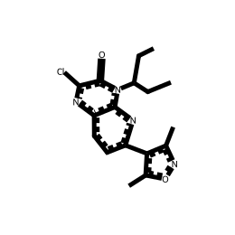 CCC(CC)n1c(=O)c(Cl)nc2ccc(-c3c(C)noc3C)nc21